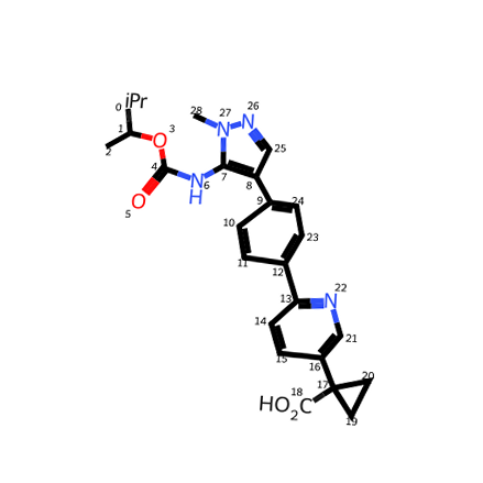 CC(C)C(C)OC(=O)Nc1c(-c2ccc(-c3ccc(C4(C(=O)O)CC4)cn3)cc2)cnn1C